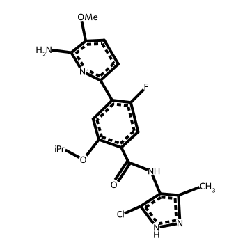 COc1ccc(-c2cc(OC(C)C)c(C(=O)Nc3c(C)n[nH]c3Cl)cc2F)nc1N